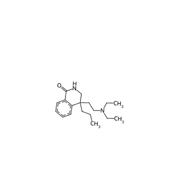 CCCC1(CCN(CC)CC)CNC(=O)c2ccccc21